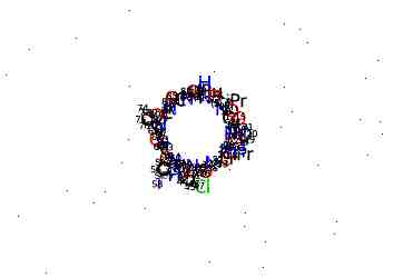 CC[C@H](C)[C@@H]1NC(=O)[C@H](CC(C)C)N(C)C(=O)C[C@@H](C(=O)N2CCCCC2)N(C)C(=O)[C@H](CC(C)C)NC(=O)C(C)(C)N(C)C(=O)[C@H](Cc2ccccc2Cl)NC(=O)[C@H](Cc2cccc(I)c2)NC(=O)CN(C)C(=O)[C@H](Cc2ccc(C)cc2)N(C)C(=O)CN(C)C(=O)CN(C)C1=O